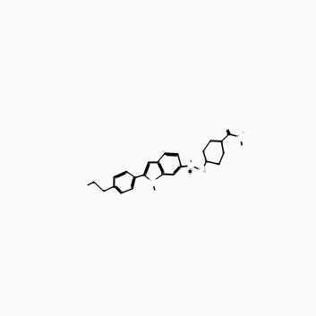 CCN(C)C(=O)C1CCC(NS(=O)(=O)c2ccc3cc(-c4ccc(CCC(=O)O)cc4)n(C)c3c2)CC1